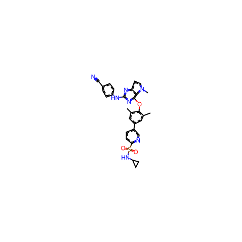 Cc1cc(-c2ccc(S(=O)(=O)NC3CC3)nc2)cc(C)c1Oc1nc(Nc2ccc(C#N)cc2)nc2ccn(C)c12